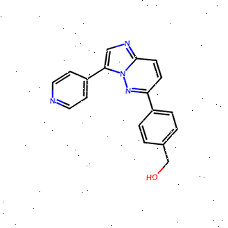 OCc1ccc(-c2ccc3ncc(-c4ccncc4)n3n2)cc1